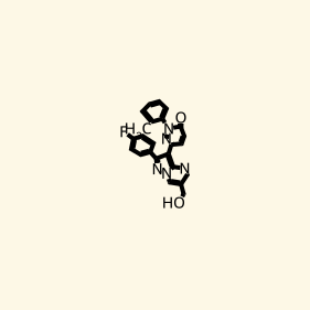 Cc1ccccc1-n1nc(-c2c(-c3ccc(F)cc3)nn3cc(CO)cnc23)ccc1=O